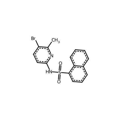 Cc1nc(NS(=O)(=O)c2cccc3ccccc23)ccc1Br